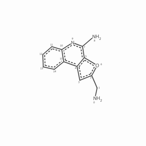 NCc1cc2c(o1)c(N)nc1ccccc12